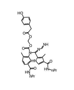 CCCNC(=O)c1ccc(C)c(N(C(=O)OCOC(=O)Cc2ccc(O)cc2)/C(=N/C=N)c2[nH]cc(C(=O)NCCC)c2C)c1